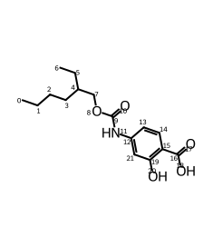 CCCCC(CC)COC(=O)Nc1ccc(C(=O)O)c(O)c1